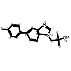 Cc1ccc(-c2ccc3c(c2)ncn3CC(C)(C)O)cc1